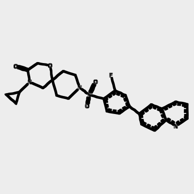 O=C1COC2(CCN(S(=O)(=O)c3ccc(-c4ccc5ncccc5c4)cc3F)CC2)CN1C1CC1